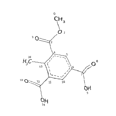 COC(=O)c1cc(C(=O)O)cc(C(=O)O)c1C